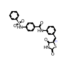 O=C1NC(=O)/C(=C\c2cccc(NC(=O)c3ccc(NS(=O)(=O)c4ccccc4)cc3)c2)S1